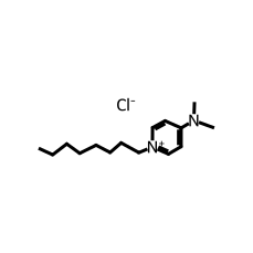 CCCCCCCC[n+]1ccc(N(C)C)cc1.[Cl-]